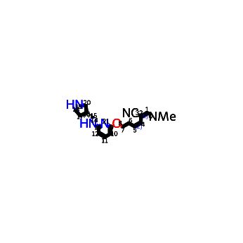 CN/C=C(C#N)\C=C/CCOc1cccc(NC[C@@H]2CCNC2)n1